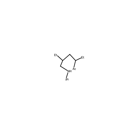 CCC(CNC(C)C)CC(CC)C(C)=O